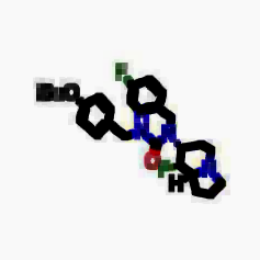 CC(C)COc1ccc(CNC(=O)N(Cc2ccc(F)cc2)[C@@H]2CCN3CCC[C@@H]3[C@H]2F)cc1